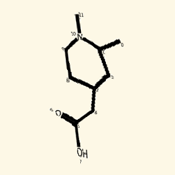 CC1CC(CC(=O)O)CCN1C